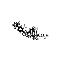 CCOC(=O)CN[C@H](C(=O)N1C[C@H](O)C[C@H]1C(=O)N[C@@H](C)c1ccc(-c2scnc2C)cc1)C(C)(C)C